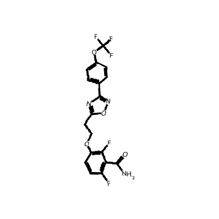 NC(=O)c1c(F)ccc(OCCc2nc(-c3ccc(OC(F)(F)F)cc3)no2)c1F